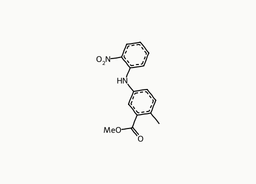 COC(=O)c1cc(Nc2ccccc2[N+](=O)[O-])ccc1C